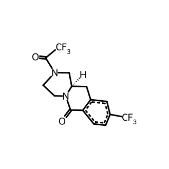 O=C1c2ccc(C(F)(F)F)cc2C[C@@H]2CN(C(=O)C(F)(F)F)CCN12